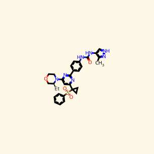 CC[C@H]1COCCN1c1cc(C2(S(=O)(=O)c3ccccc3)CC2)nc(-c2ccc(NC(=O)Nc3c[nH]nc3C)cc2)n1